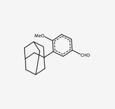 COc1ccc([C]=O)cc1C12CC3CC(CC(C3)C1)C2